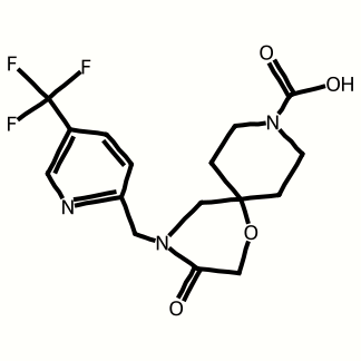 O=C(O)N1CCC2(CC1)CN(Cc1ccc(C(F)(F)F)cn1)C(=O)CO2